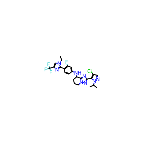 CCn1cc(C(F)(F)F)nc1-c1ccc(NC2CCCn3nc(-c4c(Cl)cnn4C(C)C)nc32)cc1F